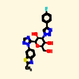 Cc1nc2ccc(-n3ncnc3[C@@H]3O[C@H](CO)[C@H](O)[C@H](n4cc(-c5ccc(F)cc5)nn4)[C@H]3O)cc2s1